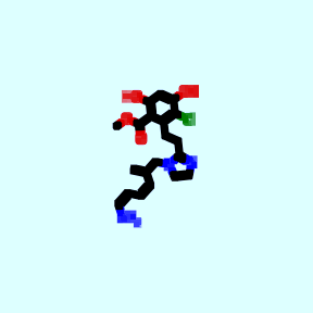 C=C(/C=C\C=C/N)Cn1ccnc1CCc1c(Cl)c(O)cc(O)c1C(=O)OC